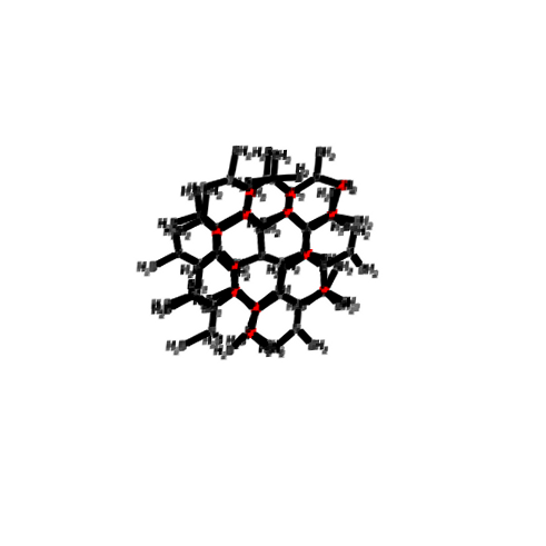 BBB(B(B)B)B(B(B(B)B)B(B)B)B(B(B(B(B)B)B(B)B)B(B(B)B)B(B)B)B(B(B(B(B(B)B)B(B)B)B(B(B)B)B(B)B)B(B(B(B)B)B(B)B)B(B(B)B)B(B)B)B(B(B(B(B)B)B(B)B)B(B(B)B)B(B)B)B(B(B(B)B)B(B)B)B(B(B)B)B(B)B